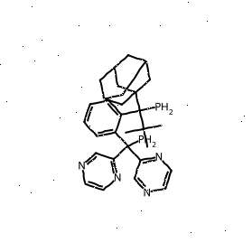 CC(C)(C)C(P)(c1ccccc1C(P)(c1cnccn1)c1cnccn1)C12CC3CC(CC(C3)C1)C2